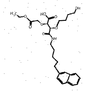 CCOC(=O)CO[C@@H](C(=O)O)[C@@H](OCCCCO)C(=O)NCCCCCc1ccc2ccccc2c1